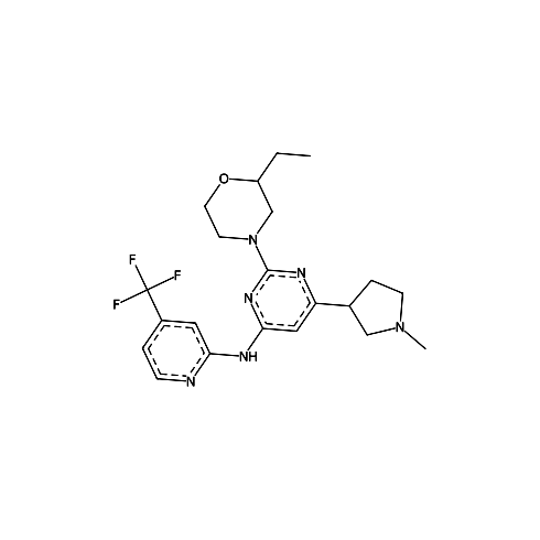 CCC1CN(c2nc(Nc3cc(C(F)(F)F)ccn3)cc(C3CCN(C)C3)n2)CCO1